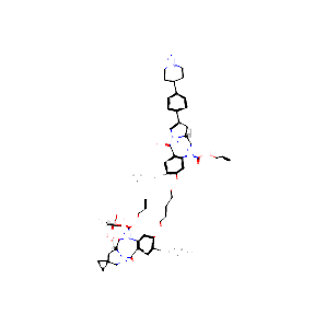 C=CCOC(=O)N1C[C@@H]2CC(c3ccc(C4CCN(C)CC4)cc3)=CN2C(=O)c2cc(OC)c(OCCCCCOc3cc4c(cc3OC)C(=O)N3CC5(CC5)C[C@H]3C(O[Si](C)(C)C(C)(C)C)N4C(=O)OCC=C)cc21